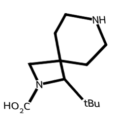 CC(C)(C)C1N(C(=O)O)CC12CCNCC2